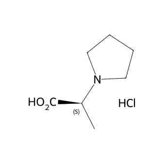 C[C@@H](C(=O)O)N1CCCC1.Cl